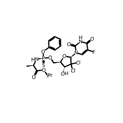 CC(C)OC(=O)[C@@H](C)N[P@](=S)(OC[C@H]1O[C@@H](n2cc(F)c(=O)[nH]c2=O)C(Cl)(Cl)[C@@H]1O)Oc1ccccc1